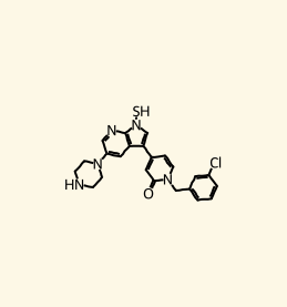 O=c1cc(-c2cn(S)c3ncc(N4CCNCC4)cc23)ccn1Cc1cccc(Cl)c1